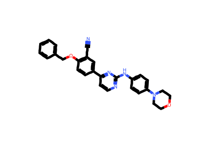 N#Cc1cc(-c2ccnc(Nc3ccc(N4CCOCC4)cc3)n2)ccc1OCc1ccccc1